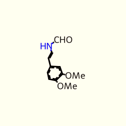 COc1ccc(C=CNC=O)cc1OC